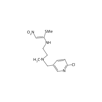 CSC(=C[N+](=O)[O-])NCCN(C)Cc1ccc(Cl)nc1